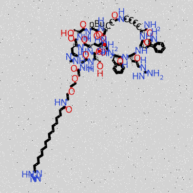 CCCC[C@H](NC(=O)[C@H](CO)NC(=O)[C@H](Cc1c[nH]cn1)NC(=O)[C@H](CCC(N)=O)NC(=O)[C@H](CO)NC(=O)CNC(=O)COCCOCCNC(=O)CCCCCCCCCCCCCCCc1nnn[nH]1)C(=O)N[C@H]1CCC(=O)NCCCC[C@@H](C(N)=O)NC(=O)[C@H](Cc2c[nH]c3ccccc23)NC(=O)[C@H](CCCNC(=N)N)NC(=O)[C@@H](Cc2ccccc2)NC(=O)[C@H](CN)NC1=O